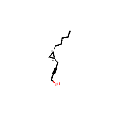 CCCCC[C@H]1C[C@@H]1CC#CCO